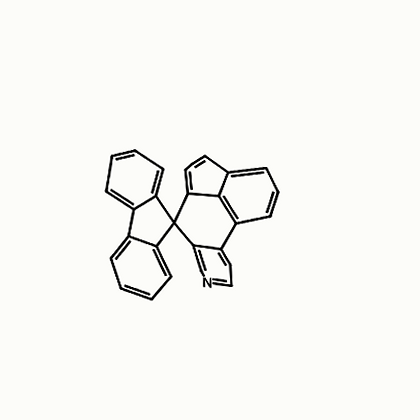 c1ccc2c(c1)-c1ccccc1C21c2cnccc2-c2cccc3cccc1c23